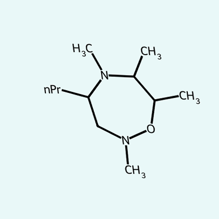 CCCC1CN(C)OC(C)C(C)N1C